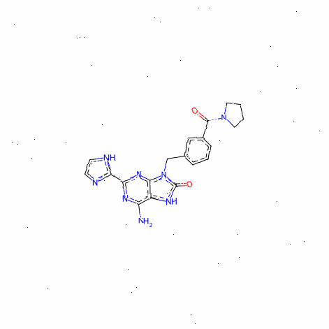 Nc1nc(-c2ncc[nH]2)nc2c1[nH]c(=O)n2Cc1cccc(C(=O)N2CCCC2)c1